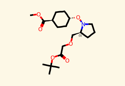 COC(=O)[C@H]1CC[C@H](ON2CCC[C@H]2COCC(=O)OC(C)(C)C)CC1